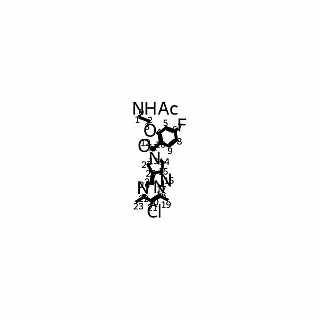 CC(=O)NCCOc1cc(F)ccc1C(=O)N1Cc2nn3c(C)c(Cl)c(C)nc3c2C1